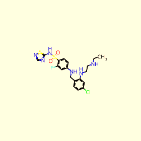 CCNCCNc1cc(Cl)ccc1CNc1ccc(S(=O)(=O)Nc2ncns2)c(F)c1